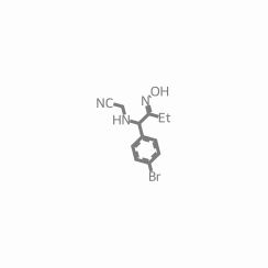 CC/C(=N\O)C(NCC#N)c1ccc(Br)cc1